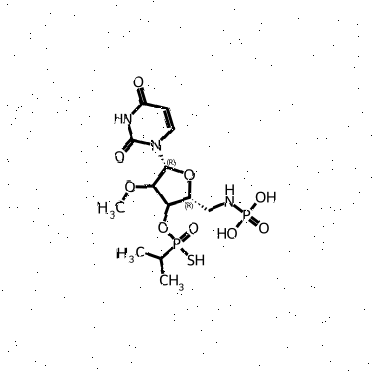 COC1C(OP(=O)(S)C(C)C)[C@@H](CNP(=O)(O)O)O[C@H]1n1ccc(=O)[nH]c1=O